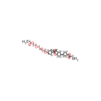 C=CC(=O)OCCOCCOCCOc1ccc(C(=O)Oc2ccc(-c3ccc(OC(=O)C=C)cc3)cc2C)cc1